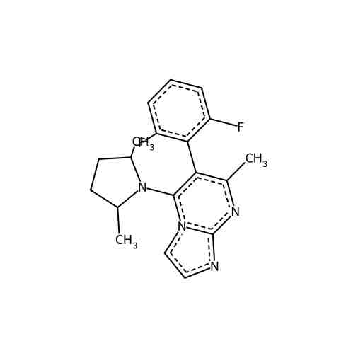 Cc1nc2nccn2c(N2C(C)CCC2C)c1-c1c(F)cccc1F